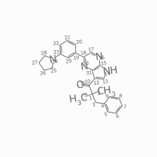 CC(C)(Cc1ccccc1)C(=O)c1c[nH]c2ncc(-c3cccc(N4CCCC4)c3)nc12